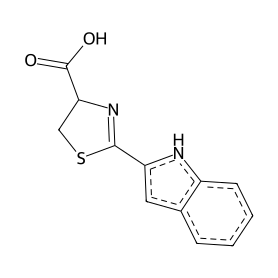 O=C(O)C1CSC(c2cc3ccccc3[nH]2)=N1